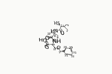 CC(C)[C@H](S)C(=O)NC(C)(C)C(=O)N[C@@H](COCc1ccccc1)C(=O)O